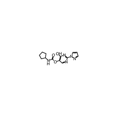 O=C(NC1CCCC1)Oc1cnc(-n2cccn2)nc1O